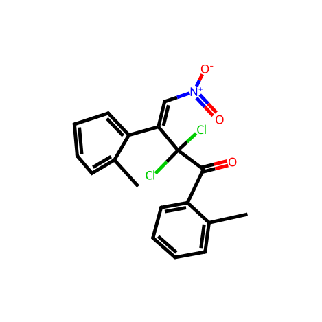 Cc1ccccc1C(=O)C(Cl)(Cl)C(=C[N+](=O)[O-])c1ccccc1C